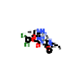 CN1N=C2CCN(C(=O)C(COc3cc(Cl)cc(Cl)c3)NC(=O)C(C)(C)N)CC2(Cc2ccccc2)C1=O